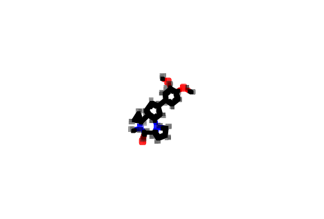 COc1ccc(-c2ccc3c(c2)-n2cccc2C(=O)N(C)C32CC2)cc1OC